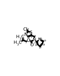 CC(C)COC(=O)N(Cc1cnc(Cl)s1)c1ccccn1